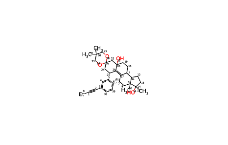 CCC#Cc1ccc([C@H]2CC3(C)C(CCC3(C)O)C3CCC4(O)CC5(CCC4=C32)OCC(C)(C)CO5)cc1